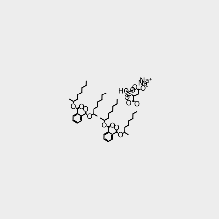 CCCCCCC(C)OC(=O)c1ccccc1C(=O)OC(C)CCCCCC.CCCCCCC(C)OC(=O)c1ccccc1C(=O)OC(C)CCCCCC.O=C([O-])CC(C(=O)[O-])S(=O)(=O)O.[Na+].[Na+]